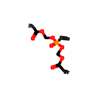 COP(=O)(OCOC(=O)C(C)C)OCOC(=O)C(C)C